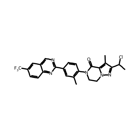 Cc1cc(-c2ncc3cc(C(F)(F)F)ccc3n2)ccc1N1CCn2nc(C(C)Cl)c(C)c2C1=O